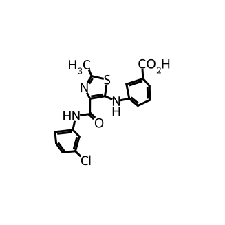 Cc1nc(C(=O)Nc2cccc(Cl)c2)c(Nc2cccc(C(=O)O)c2)s1